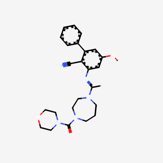 COc1cc(N=C(C)N2CCCN(C(=O)N3CCOCC3)CC2)c(C#N)c(-c2ccccc2)c1